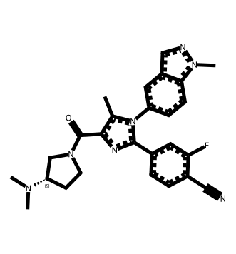 Cc1c(C(=O)N2CC[C@H](N(C)C)C2)nc(-c2ccc(C#N)c(F)c2)n1-c1ccc2c(cnn2C)c1